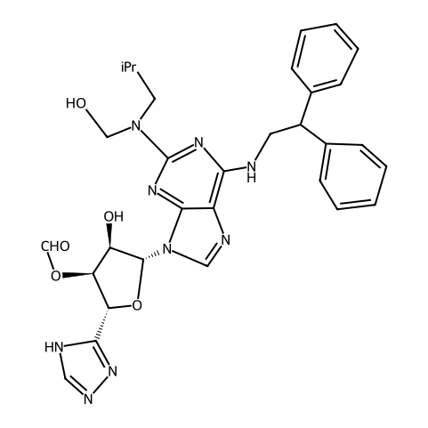 CC(C)CN(CO)c1nc(NCC(c2ccccc2)c2ccccc2)c2ncn([C@@H]3O[C@H](c4nnc[nH]4)[C@@H](OC=O)[C@H]3O)c2n1